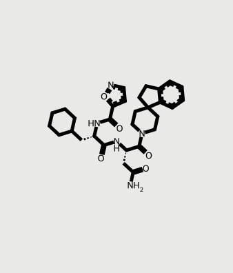 NC(=O)C[C@H](NC(=O)[C@H](CC1CCCCC1)NC(=O)c1ccno1)C(=O)N1CCC2(CCc3ccccc32)CC1